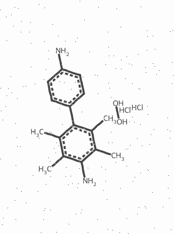 Cc1c(C)c(-c2ccc(N)cc2)c(C)c(C)c1N.Cl.Cl.OO